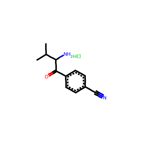 CC(C)C(N)C(=O)c1ccc(C#N)cc1.Cl